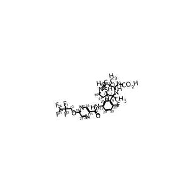 CC1(C)C(NC(=O)O)=N[C@](C)(c2cc(NC(=O)c3cnc(OCC(F)(F)C(F)F)cn3)ccc2F)[C@@H]2CC=N[SH]21=O